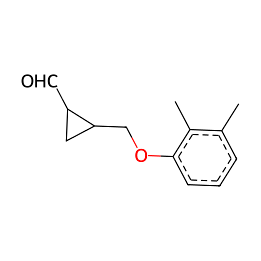 Cc1cccc(OCC2CC2C=O)c1C